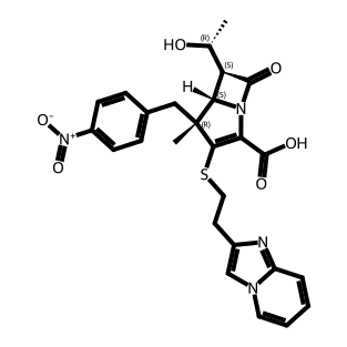 C[C@@H](O)[C@H]1C(=O)N2C(C(=O)O)=C(SCCc3cn4ccccc4n3)[C@](C)(Cc3ccc([N+](=O)[O-])cc3)[C@H]12